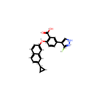 O=C(O)c1cc(-c2c[nH]nc2F)ccc1Oc1ccc2ccc(C3CC3)cc2c1